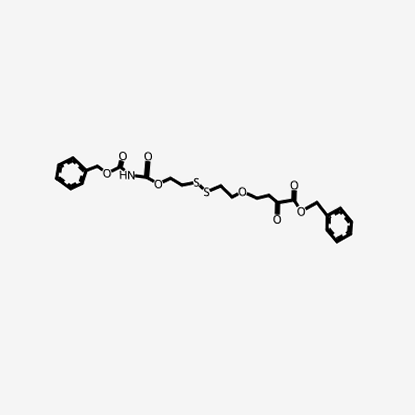 O=C(NC(=O)OCc1ccccc1)OCCSSCCOCCC(=O)C(=O)OCc1ccccc1